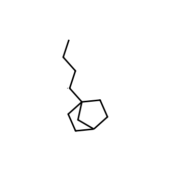 CCC[CH]C12CCC(CC1)C2